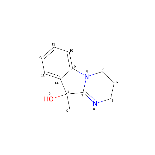 CC1(O)C2=NCCCN2c2ccccc21